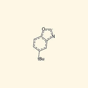 CC(C)(C)c1ccc2o[c]nc2c1